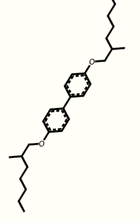 CCCCCC(C)COc1ccc(-c2ccc(OCC(C)CCCCC)cc2)cc1